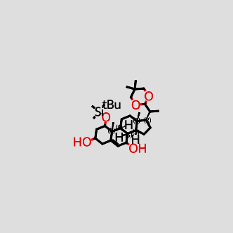 CC(C1OCC(C)(C)CO1)[C@H]1CC[C@H]2[C@@H]3C(O)C=C4CC(O)CC(O[Si](C)(C)C(C)(C)C)[C@]4(C)[C@H]3CC[C@]12C